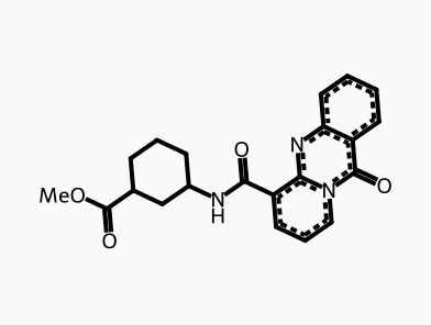 COC(=O)C1CCCC(NC(=O)c2cccn3c(=O)c4ccccc4nc23)C1